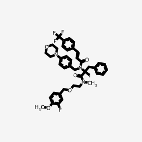 COc1ccc(COCCN(C)C(=O)C(I)(Cc2ccccc2)N(Cc2ccc(N3CCOCC3)cc2)C(=O)C=Cc2ccc(C(F)(F)F)cc2)cc1F